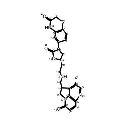 O=C1CSc2ccc(N3C[C@@H](CCNCC4Cn5c(=O)ccc6ncc(F)c4c65)OC3=O)cc2N1